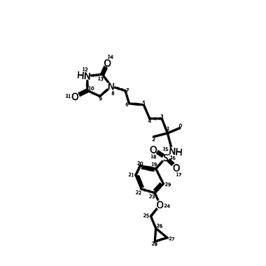 CC(C)(CCCCCN1CC(=O)NC1=O)NS(=O)(=O)c1cccc(OCC2CC2)c1